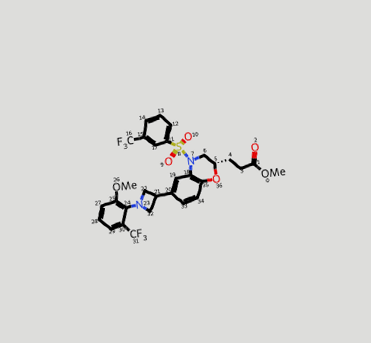 COC(=O)CC[C@H]1CN(S(=O)(=O)c2cccc(C(F)(F)F)c2)c2cc(C3CN(c4c(OC)cccc4C(F)(F)F)C3)ccc2O1